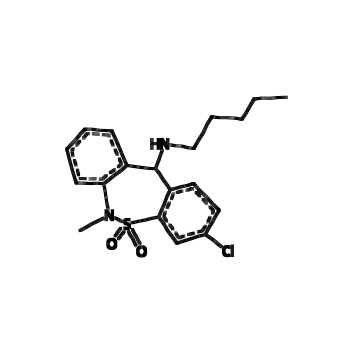 CCCCCNC1c2ccccc2N(C)S(=O)(=O)c2cc(Cl)ccc21